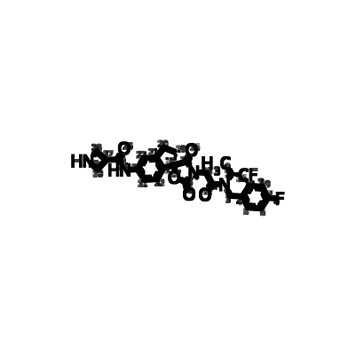 C[C@H](N(Cc1ccc(F)cc1)C(=O)CN1C(=O)O[C@]2(CCc3cc(NC(=O)C4CNC4)ccc32)C1=O)C(F)(F)F